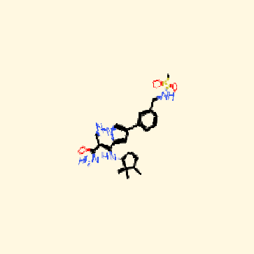 CC1CC[C@@H](Nc2c(C(N)=O)cnn3cc(-c4cccc(CNS(C)(=O)=O)c4)cc23)C1(C)C